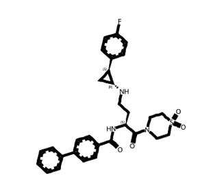 O=C(N[C@@H](CCN[C@@H]1C[C@H]1c1ccc(F)cc1)C(=O)N1CCS(=O)(=O)CC1)c1ccc(-c2ccccc2)cc1